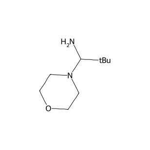 CC(C)(C)C(N)N1CCOCC1